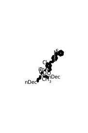 CCCCCCCCCCCCCCN(C(=O)OC(C(C)C)N1C(=O)Cc2cc(CCN3CCN(c4nsc5ccccc45)CC3)c(Cl)cc21)C(C)CCCCCCCCCCCC